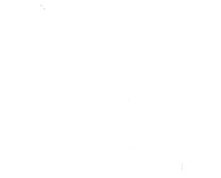 CCCC(=O)CCC(=O)CCC(=O)CCC(=O)CCN